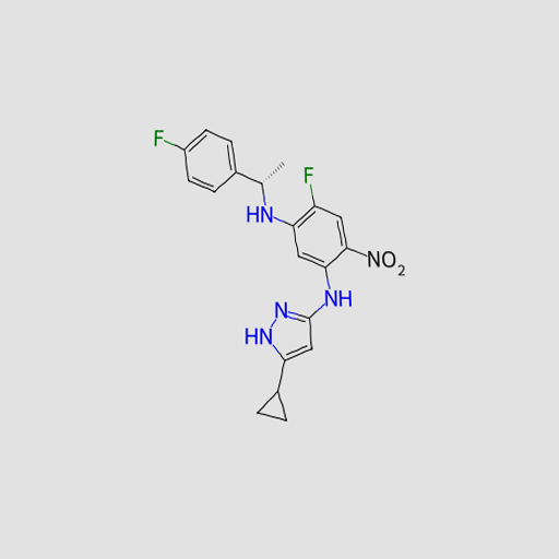 C[C@H](Nc1cc(Nc2cc(C3CC3)[nH]n2)c([N+](=O)[O-])cc1F)c1ccc(F)cc1